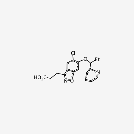 CCC(Oc1cc2onc(CCC(=O)O)c2cc1Cl)c1ccccn1